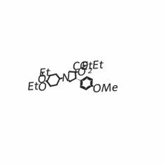 CCOC(=O)[C@]1(OCC)CN(C2CCC(OCC)(OCC)CC2)C[C@H]1c1ccc(OC)cc1